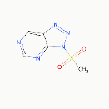 CS(=O)(=O)n1nnc2cncnc21